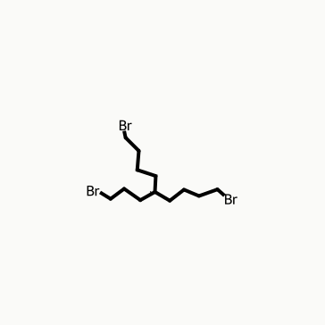 BrCCCC[C](CCCBr)CCCCBr